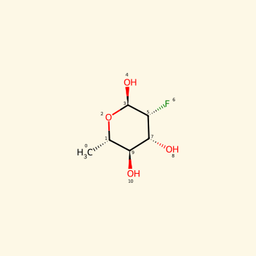 C[C@@H]1O[C@@H](O)[C@H](F)[C@H](O)[C@H]1O